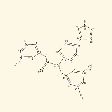 O=C(Cc1cncc(F)c1)N(Cc1cc(F)cc(Cl)c1)c1ccc(-c2c[nH]cn2)cc1